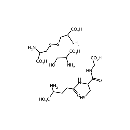 NC(CCC(=O)NC(CS)C(=O)NCC(=O)O)C(=O)O.NC(CO)C(=O)O.NC(CSSCC(N)C(=O)O)C(=O)O